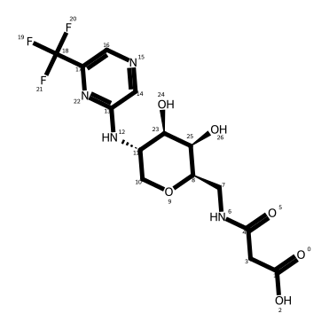 O=C(O)CC(=O)NC[C@H]1OC[C@H](Nc2cncc(C(F)(F)F)n2)[C@@H](O)[C@H]1O